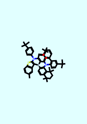 Cc1ccc2sc3c(c2c1)B1c2ccc4c(c2N(c2ccc(C(C)(C)C)cc2-c2ccccc2)c2cc(C(C)(C)C)cc(c21)N3c1ccc(C(C)(C)C)cc1)C(C)(C)CCC4(C)C